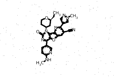 CC[C@H]1C[C@@H](n2c(=O)nc(-c3ccc(NC)nc3)c3oc4cc(C#N)c(-c5cnn(C)c5)nc4c32)CCO1